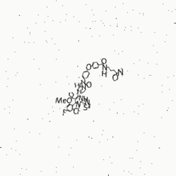 COC(=O)C1=C(CN2CCN3C(=O)N(c4ccc(Oc5ccc(C(=O)NCCCC(=O)N(C)C)cc5)cc4)C[C@@H]3C2)NC(c2nccs2)=N[C@H]1c1ccc(F)cc1Cl